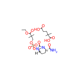 CC(C)(CCC(=O)O)C(=O)O.CCOC(=O)C(C)(C)COS(=O)(=O)ON1C(=O)N2C[C@H]1CC[C@H]2C(N)=O